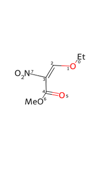 CCOC=C(C(=O)OC)[N+](=O)[O-]